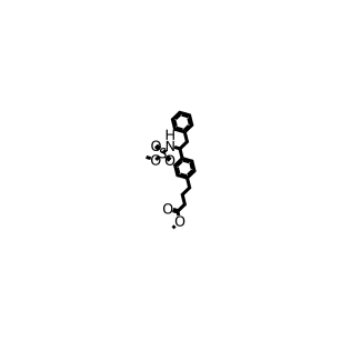 COC(=O)CCCc1ccc(C(Cc2ccccc2)NS(=O)(=O)OC)cc1